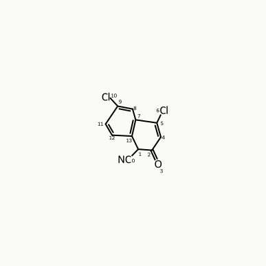 N#CC1C(=O)C=C(Cl)c2cc(Cl)ccc21